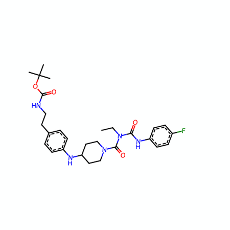 CCN(C(=O)Nc1ccc(F)cc1)C(=O)N1CCC(Nc2ccc(CCNC(=O)OC(C)(C)C)cc2)CC1